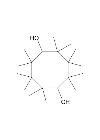 CC1(C)C(O)C(C)(C)C(C)(C)C(C)(C)C(O)C(C)(C)C1(C)C